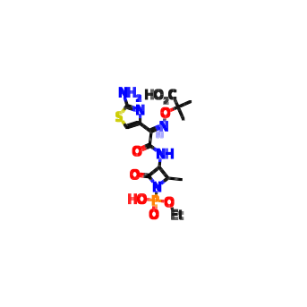 CCOP(=O)(O)N1C(=O)C(NC(=O)/C(=N/OC(C)(C)C(=O)O)c2csc(N)n2)C1C